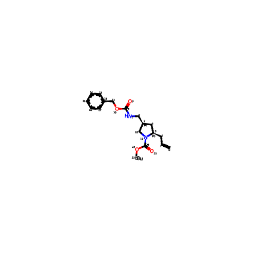 C=CC[C@@H]1C[C@H](CNC(=O)OCc2ccccc2)CN1C(=O)OC(C)(C)C